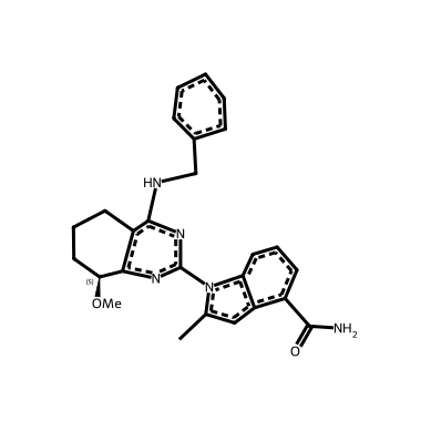 CO[C@H]1CCCc2c(NCc3ccccc3)nc(-n3c(C)cc4c(C(N)=O)cccc43)nc21